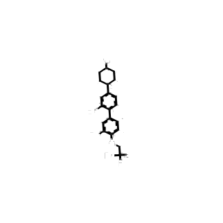 CCc1cc(-c2ccc(C3CCC(C)CC3)cc2CC)ccc1OCC(CC)(CC)CC